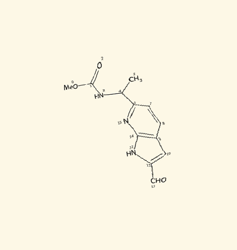 COC(=O)NC(C)c1ccc2cc(C=O)[nH]c2n1